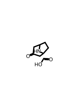 O=C1CC2CCC(C1)N2.O=CO